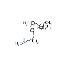 C=CNCCCCC(C)CCCc1ccc(Cc2cc(CCC(C)CC(CC)C(C)C)ccc2C)cc1